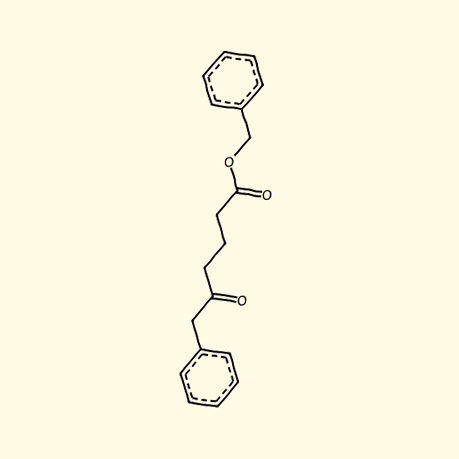 O=C(CCCC(=O)OCc1ccccc1)Cc1ccccc1